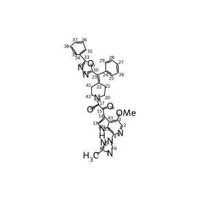 COc1cnc(-n2cnc(C)n2)c2[nH]cc(C(=O)C(=O)N3CCC(=C(c4ccccc4)c4nnc(-c5ccccc5)o4)CC3)c12